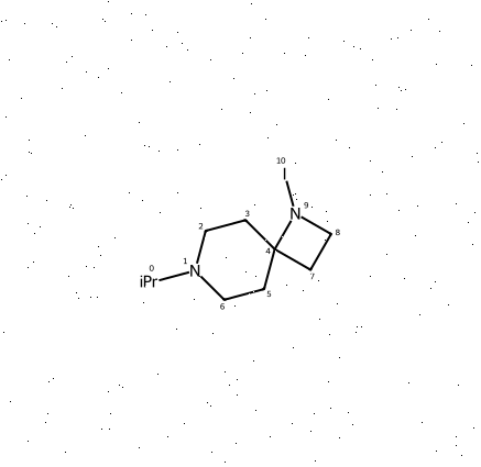 CC(C)N1CCC2(CC1)CCN2I